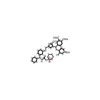 COc1ccc(C(Cc2c(Cl)c[n+](O)cc2Cl)c2cc(COc3cccc([C@@H](NC(=O)O[C@H]4CN5CCC4CC5)c4ccccc4)c3)oc2C(=O)[O-])cc1OC